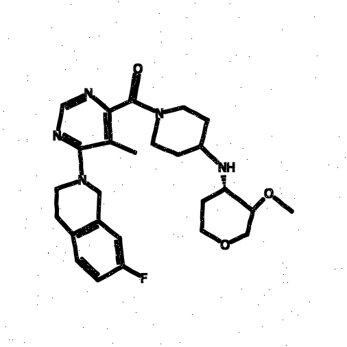 COC1COCC[C@@H]1NC1CCN(C(=O)c2ncnc(N3CCc4ccc(F)cc4C3)c2C)CC1